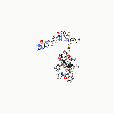 CC(=O)O[C@H]1C(=O)C2(C)C(OC(=O)CCSSCC(NC(=O)CCC(NC(=O)c3ccc(NCc4cnc5nc(N)[nH]c(=O)c5n4)cc3)C(=O)O)C(=O)O)C[C@H]3OC[C@@]3(OC(C)=O)C2[C@H](OC(=O)c2ccccc2)[C@]2(O)C[C@H](OC(=O)[C@H](O)[C@H](NC(=O)c3ccccc3)c3ccccc3)C(C)=C1C2(C)C